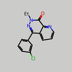 CCn1nc(-c2cccc(Cl)c2)c2cccnc2c1=O